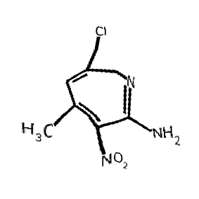 Cc1cc(Cl)nc(N)c1[N+](=O)[O-]